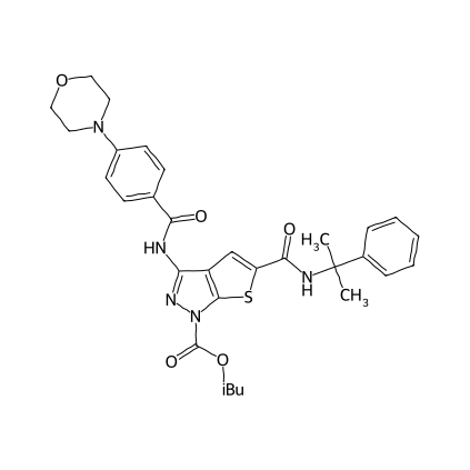 CCC(C)OC(=O)n1nc(NC(=O)c2ccc(N3CCOCC3)cc2)c2cc(C(=O)NC(C)(C)c3ccccc3)sc21